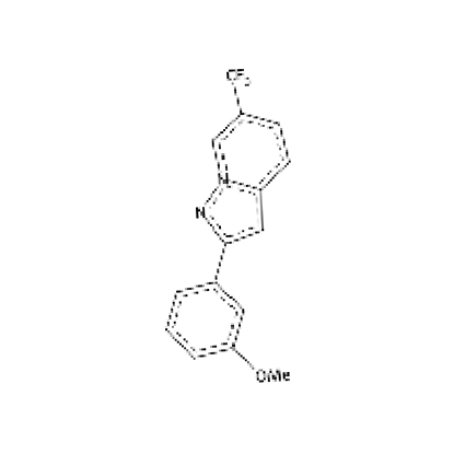 COc1cccc(-c2cc3ccc(C(F)(F)F)cn3n2)c1